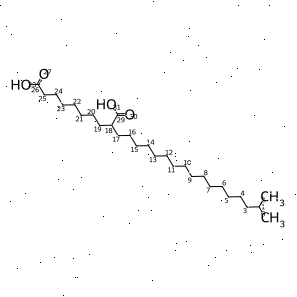 CC(C)CCCCCCCCCCCCCCCC(CCCCCCCC(=O)O)C(=O)O